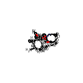 COc1cc2cc(c1Cl)N(C)C(=O)C[C@H](OC(=O)[C@H](C)N(C)C(=O)CCSSC(C)(C)[C@H](NC(=O)[C@@H]1CSSC[C@H](NC(=O)[C@@H](Cc3ccccc3)NC(=O)NCc3ccc(C(F)(F)F)cc3)C(=O)N[C@@H](Cc3ccc(O)cc3)C(=O)N[C@H](Cc3c[nH]c4ccccc34)C(=O)N[C@@H](CCCCN)C(=O)N[C@@H]([C@@H](C)O)C(=O)N1)C(N)=O)[C@@]1(C)CC(C)(O1)[C@@H]1C[C@@](O)(NC(=O)O1)[C@H](OC)/C=C/C=C(\C)C2